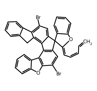 C=C/C=C\C=C1/Oc2ccccc2C12c1cc(Br)c3c(c1-c1c2cc(Br)c2oc4ccccc4c12)Cc1ccccc1-3